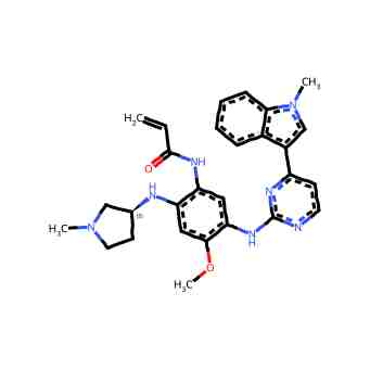 C=CC(=O)Nc1cc(Nc2nccc(-c3cn(C)c4ccccc34)n2)c(OC)cc1N[C@H]1CCN(C)C1